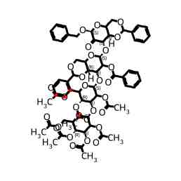 CC(=O)OCC1O[C@@H](O[C@@H]2C(OC(C)=O)[C@H](O[C@@H]3C(OC(=O)c4ccccc4)[C@H](O[C@@H]4C(=O)[C@@H](OCc5ccccc5)OC5COC(c6ccccc6)O[C@H]54)OC4COC(c5ccccc5)O[C@H]43)OC(COC(C)=O)[C@H]2OC(C)=O)C(OC(C)=O)[C@@H](OC(C)=O)[C@@H]1OC(C)=O